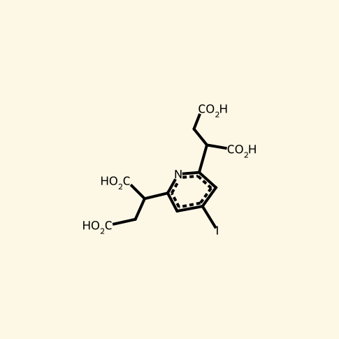 O=C(O)CC(C(=O)O)c1cc(I)cc(C(CC(=O)O)C(=O)O)n1